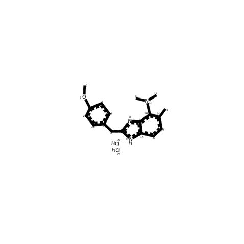 COc1ccc(Cc2nc3c(N(C)C)c(C)ccc3[nH]2)cc1.Cl.Cl